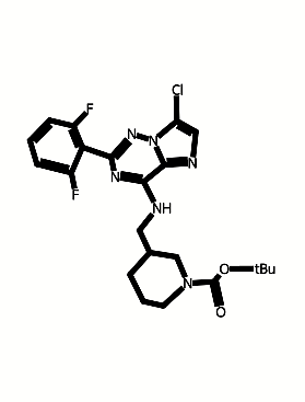 CC(C)(C)OC(=O)N1CCCC(CNc2nc(-c3c(F)cccc3F)nn3c(Cl)cnc23)C1